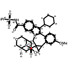 COc1ccc2c(c1)C1CC1(C(=O)N1C3COC[C@@H]1CN(C)C3)Cn1c-2c(C2CCCCC2)c2ccc(C(=O)NS(=O)(=O)C(C)C)cc21